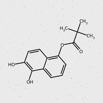 CC(C)(C)C(=O)Oc1cccc2c(O)c(O)ccc12